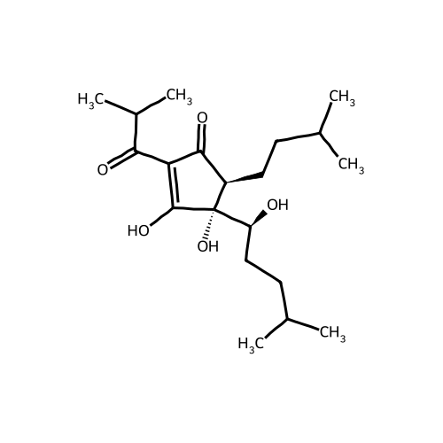 CC(C)CC[C@@H]1C(=O)C(C(=O)C(C)C)=C(O)[C@]1(O)[C@@H](O)CCC(C)C